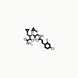 NC(=O)C(=O)C(CC1CC1)NC(=O)[C@H](CC1CC1)NC(=O)/C=C/c1ccc(Cl)cc1F